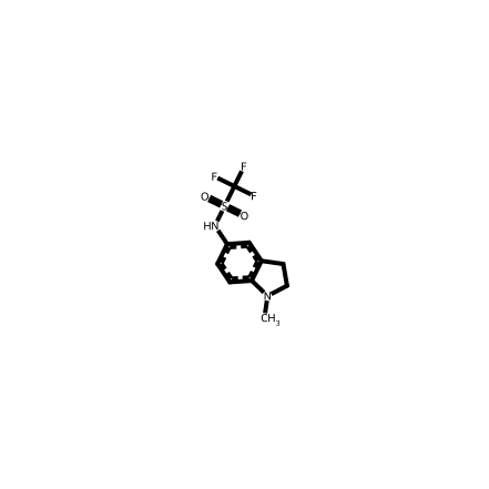 CN1CCc2cc(NS(=O)(=O)C(F)(F)F)ccc21